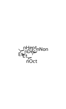 C=C(CC)CCCCCCCC.C=CCCCCCCCCCC.CC=CCCCCCCCCC.CCCCCCCC=C(C)CC